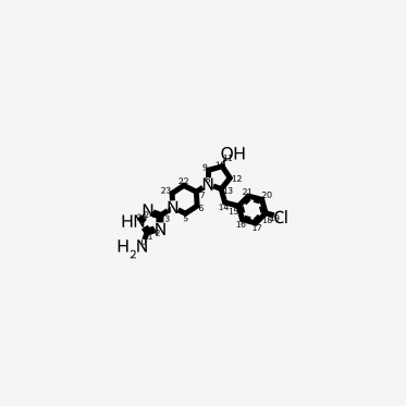 Nc1nc(N2CCC(N3C[C@H](O)CC3Cc3ccc(Cl)cc3)CC2)n[nH]1